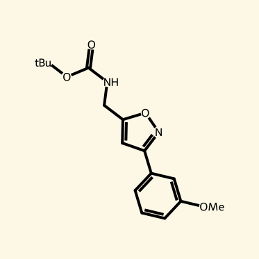 COc1cccc(-c2cc(CNC(=O)OC(C)(C)C)on2)c1